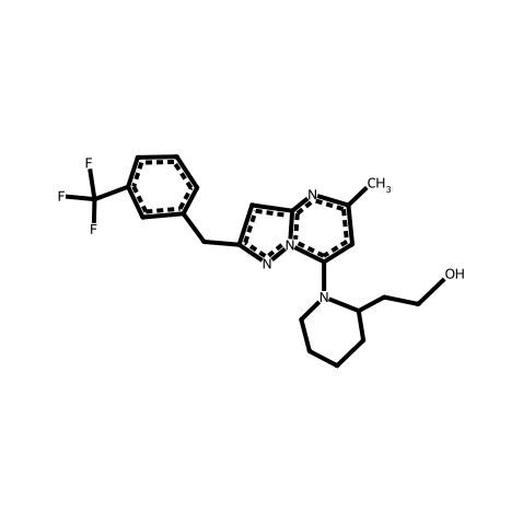 Cc1cc(N2CCCCC2CCO)n2nc(Cc3cccc(C(F)(F)F)c3)cc2n1